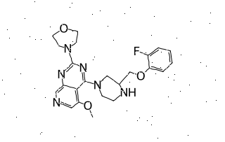 COc1cncc2nc(N3CCOCC3)nc(N3CCNC(COc4ccccc4F)C3)c12